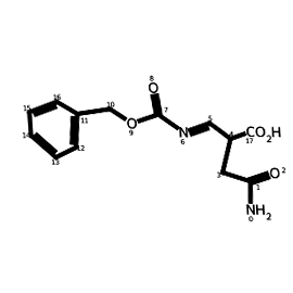 NC(=O)CC(/C=N/C(=O)OCc1ccccc1)C(=O)O